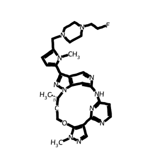 C[C@H]1CCOc2c(cnn2C)-c2nccc(n2)Nc2cc3c(cn2)c(-c2ccc(CN4CCN(CCF)CC4)n2C)nn31